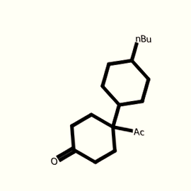 CCCCC1CCC(C2(C(C)=O)CCC(=O)CC2)CC1